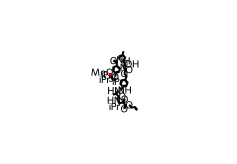 C=CCOC(=O)C(=O)C(NC(=O)C(C)NNc1ccc(COC(=O)N2c3cc(O[Si](C(C)C)(C(C)C)C(C)C)c(OC)cc3C(=O)N3C=C(C)C[C@H]3[C@@H]2O)cc1)C(C)C